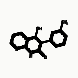 Cc1cccc(-c2c(O)c3cccnc3[nH]c2=O)c1